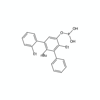 CCCCc1c(-c2ccccc2CC)cc(OP(O)O)c(CC)c1-c1ccccc1